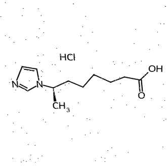 C[C@H](CCCCCC(=O)O)n1ccnc1.Cl